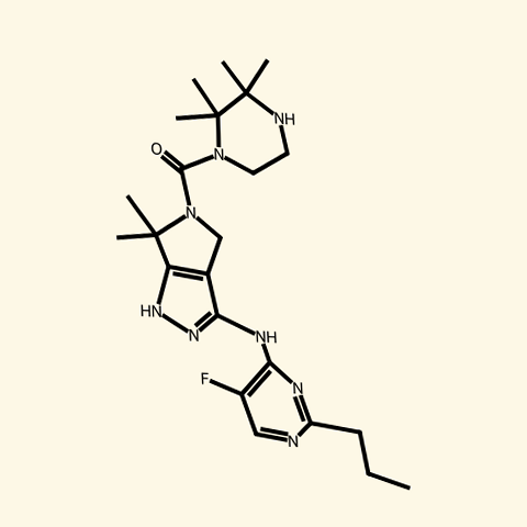 CCCc1ncc(F)c(Nc2n[nH]c3c2CN(C(=O)N2CCNC(C)(C)C2(C)C)C3(C)C)n1